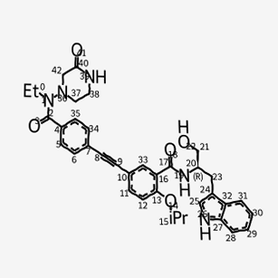 CCN(C(=O)c1ccc(C#Cc2ccc(OC(C)C)c(C(=O)N[C@@H](CO)Cc3c[nH]c4ccccc34)c2)cc1)N1CCNC(=O)C1